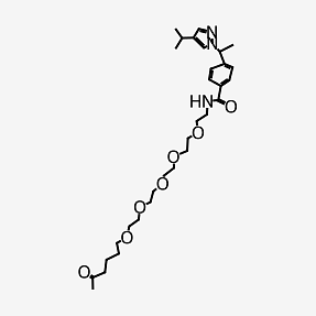 CC(=O)CCCCOCCOCCOCCOCCOCCNC(=O)c1ccc(C(C)n2cc(C(C)C)cn2)cc1